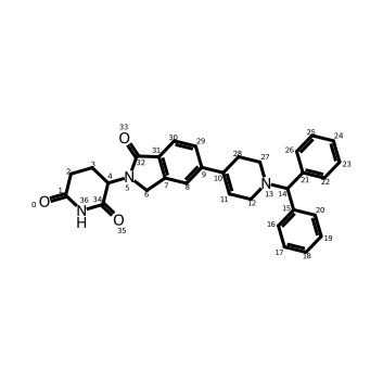 O=C1CCC(N2Cc3cc(C4=CCN(C(c5ccccc5)c5ccccc5)CC4)ccc3C2=O)C(=O)N1